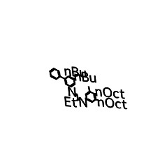 CCCCCCCCc1cc(N=C(C=Nc2cc(CCCC)c(CCCC)c(-c3ccccc3)c2)CC)cc(C)c1CCCCCCCC